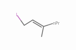 CCC/C(C)=C/CI